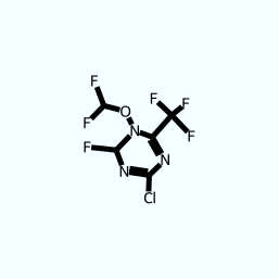 FC(F)ON1C(C(F)(F)F)=NC(Cl)=NC1F